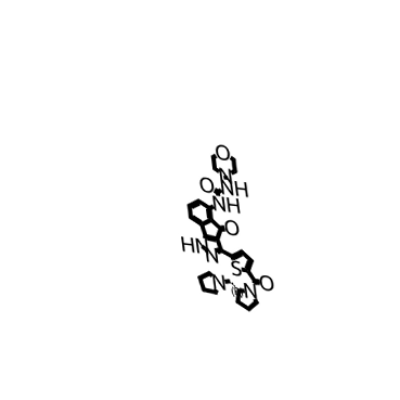 O=C(Nc1cccc2c1C(=O)c1c(-c3ccc(C(=O)N4CCC[C@@H]4CN4CCCC4)s3)n[nH]c1-2)NN1CCOCC1